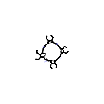 CCc1c2sc(c1CC)/C=C\c1sc(c(CC)c1CC)/C=C\c1sc(c(CC)c1CC)/C=C\c1sc(c(CC)c1CC)/C=C\2